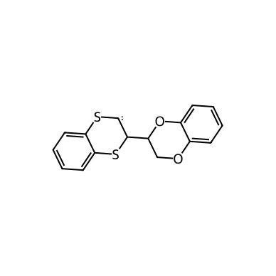 [C]1Sc2ccccc2SC1C1COc2ccccc2O1